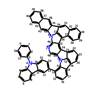 c1ccc(-n2c3ccccc3c3cc(-c4cccc5c6cccc7c8c9c%10c%11ccccc%11cc%11c%12cc%13ccccc%13cc%12n(c9ncc8n(c45)c67)c%11%10)ccc32)cc1